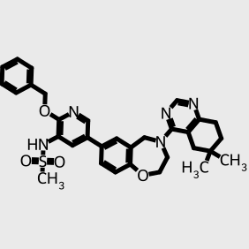 CC1(C)CCc2ncnc(N3CCOc4ccc(-c5cnc(OCc6ccccc6)c(NS(C)(=O)=O)c5)cc4C3)c2C1